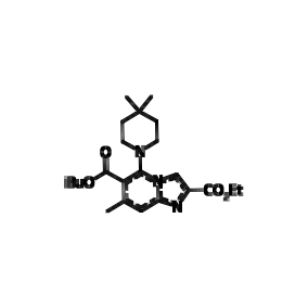 CCOC(=O)c1cn2c(N3CCC(C)(C)CC3)c(C(=O)OCC(C)C)c(C)cc2n1